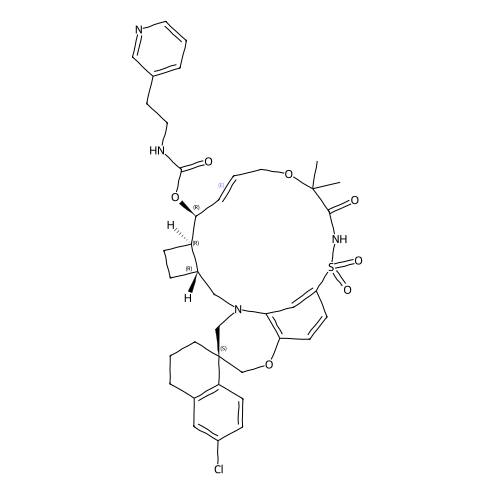 CC1(C)OC/C=C/[C@H](OC(=O)NCCc2cccnc2)[C@@H]2CC[C@H]2CN2C[C@@]3(CCCc4cc(Cl)ccc43)COc3ccc(cc32)S(=O)(=O)NC1=O